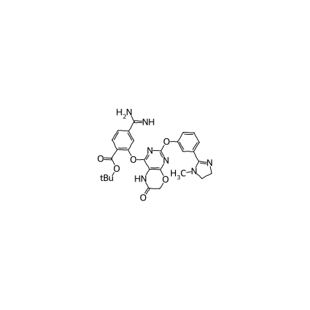 CN1CCN=C1c1cccc(Oc2nc3c(c(Oc4cc(C(=N)N)ccc4C(=O)OC(C)(C)C)n2)NC(=O)CO3)c1